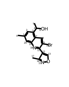 Cc1cc(C(C)O)c2cc(Br)c(-c3conc3C)nc2c1